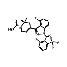 CC1(C)CC(c2nn(C(=O)c3c(Cl)cccc3C(F)(F)F)c3cccc(F)c23)=CC[C@@H]1C(=O)O